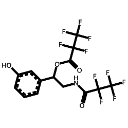 O=C(NCC(OC(=O)C(F)(F)C(F)(F)F)c1cccc(O)c1)C(F)(F)C(F)(F)F